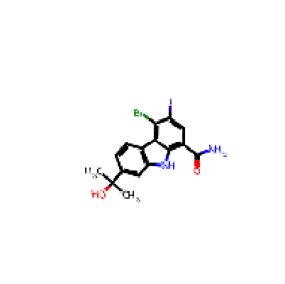 CC(C)(O)c1ccc2c(c1)[nH]c1c(C(N)=O)cc(I)c(Br)c12